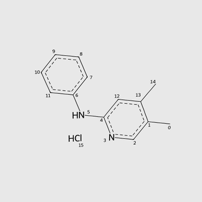 Cc1cnc(Nc2ccccc2)cc1C.Cl